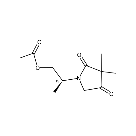 CC(=O)OC[C@H](C)N1CC(=O)C(C)(C)C1=O